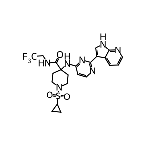 O=C(NCC(F)(F)F)C1(Nc2ccnc(-c3c[nH]c4ncccc34)n2)CCN(S(=O)(=O)C2CC2)CC1